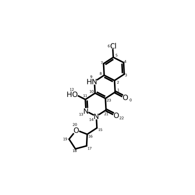 O=c1c2ccc(Cl)cc2[nH]c2c(O)nn(CC3CCCO3)c(=O)c12